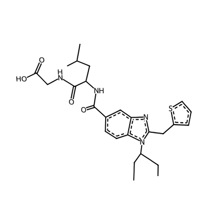 CCC(CC)n1c(Cc2cccs2)nc2cc(C(=O)NC(CC(C)C)C(=O)NCC(=O)O)ccc21